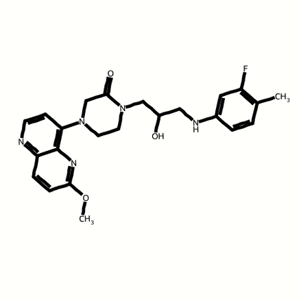 COc1ccc2nccc(N3CCN(CC(O)CNc4ccc(C)c(F)c4)C(=O)C3)c2n1